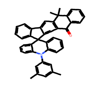 Cc1cc(C)cc(N2c3ccccc3C3(c4ccccc4-c4cc5c(cc43)C(=O)c3ccccc3C5(C)C)c3ccccc32)c1